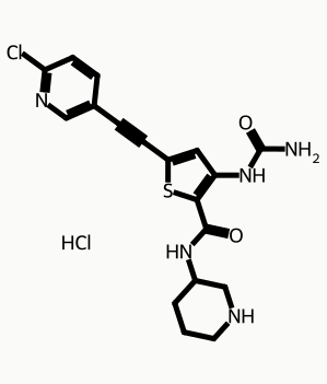 Cl.NC(=O)Nc1cc(C#Cc2ccc(Cl)nc2)sc1C(=O)NC1CCCNC1